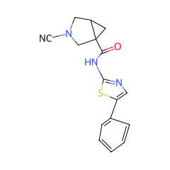 N#CN1CC2CC2(C(=O)Nc2ncc(-c3ccccc3)s2)C1